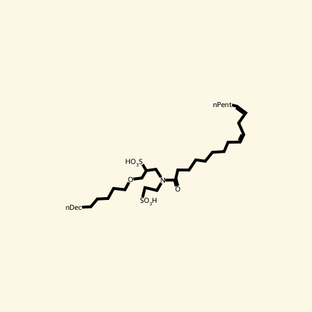 CCCCC/C=C\C/C=C\CCCCCCCC(=O)N(CCS(=O)(=O)O)CC(COCCCCCCCCCCCCCCC)S(=O)(=O)O